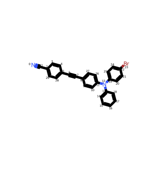 N#Cc1ccc(C#Cc2ccc(N(c3ccccc3)c3ccc(Br)cc3)cc2)cc1